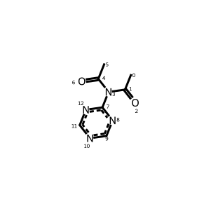 CC(=O)N(C(C)=O)c1ncncn1